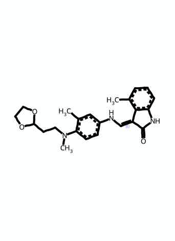 Cc1cc(N/C=C2/C(=O)Nc3cccc(C)c32)ccc1N(C)CCC1OCCO1